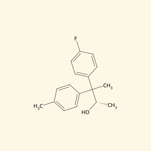 Cc1ccc(C(C)(c2ccc(F)cc2)[C@H](C)O)cc1